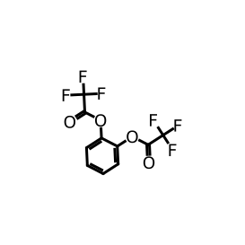 O=C(Oc1ccccc1OC(=O)C(F)(F)F)C(F)(F)F